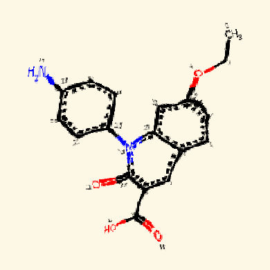 CCOc1ccc2cc(C(=O)O)c(=O)n(-c3ccc(N)cc3)c2c1